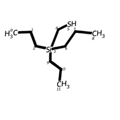 CCC[Si](CS)(CCC)CCC